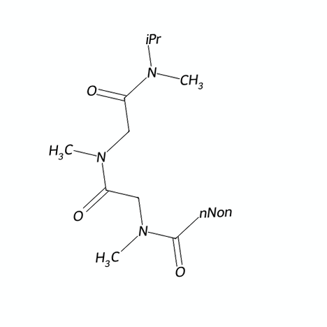 CCCCCCCCCC(=O)N(C)CC(=O)N(C)CC(=O)N(C)C(C)C